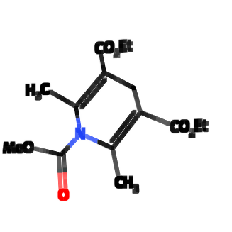 CCOC(=O)C1=C(C)N(C(=O)OC)C(C)=C(C(=O)OCC)C1